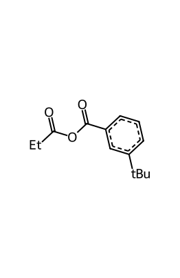 CCC(=O)OC(=O)c1cccc(C(C)(C)C)c1